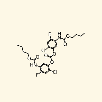 CCCCOC(=O)Nc1cc(OC(=O)Oc2cc(NC(=O)OCCCC)c(F)cc2Cl)c(Cl)cc1F